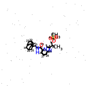 CC(COS(C)(=O)=O)c1cn2c(C(=O)NCC34CC5CC(CC(C5)C3)C4)cccc2n1